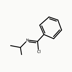 CC(C)N=C(Cl)c1ccccc1